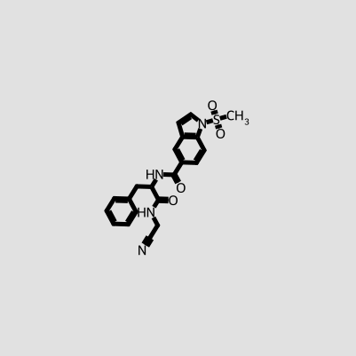 CS(=O)(=O)n1ccc2cc(C(=O)NC(Cc3ccccc3)C(=O)NCC#N)ccc21